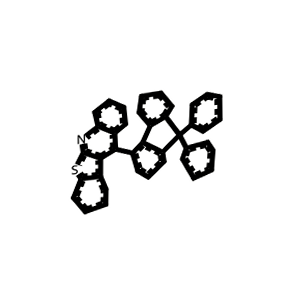 c1ccc(C2(c3ccccc3)c3ccccc3-c3c(-c4c5ccccc5nc5sc6ccccc6c45)cccc32)cc1